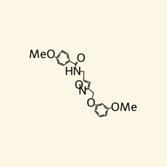 COc1ccc(C(=O)NCc2cc(COc3cccc(OC)c3)no2)cc1